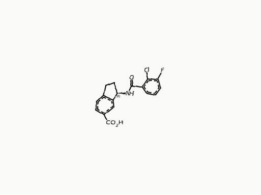 O=C(O)c1ccc2c(c1)[C@H](NC(=O)c1cccc(F)c1Cl)CC2